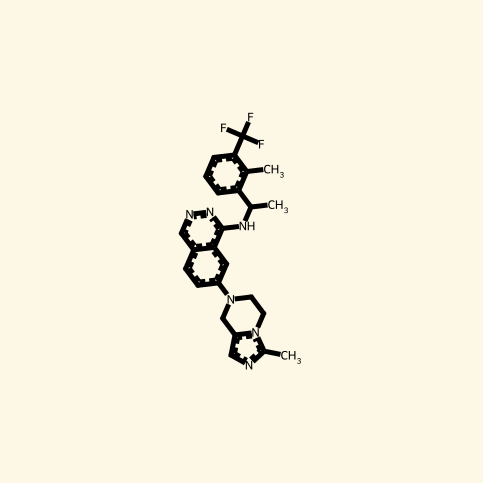 Cc1c(C(C)Nc2nncc3ccc(N4CCn5c(cnc5C)C4)cc23)cccc1C(F)(F)F